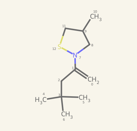 C=C(CC(C)(C)C)N1CC(C)CS1